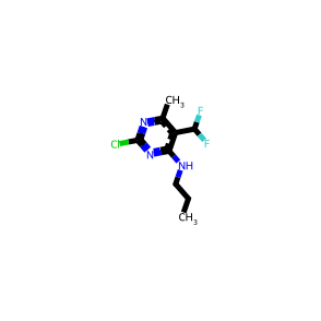 CCCNc1nc(Cl)nc(C)c1C(F)F